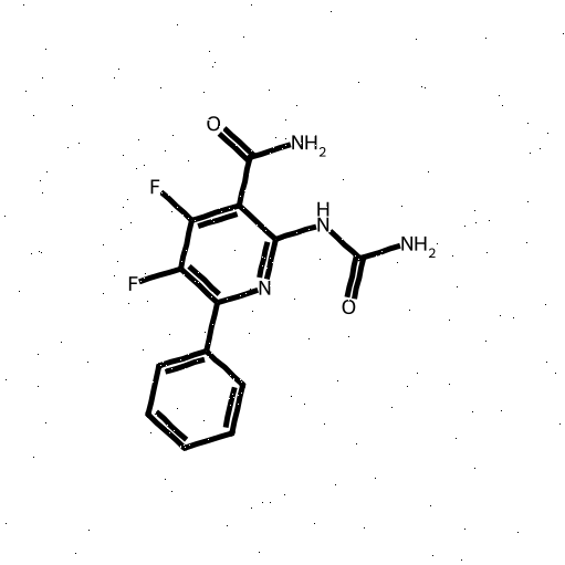 NC(=O)Nc1nc(-c2ccccc2)c(F)c(F)c1C(N)=O